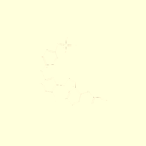 C=CC(=O)Nc1cccc2c1ccn2-c1nc(Nc2ccc(N=S(C)(C)=O)cc2)ncc1Cl